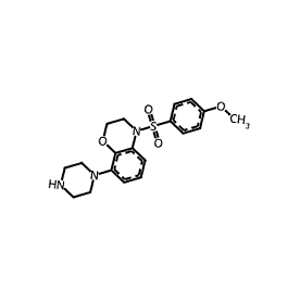 COc1ccc(S(=O)(=O)N2CCOc3c(N4CCNCC4)cccc32)cc1